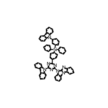 c1ccc([Si](c2ccccc2)(c2ccc(-c3nc(-n4c5ccccc5c5ccccc54)nc(-n4c5ccccc5n5c6ccccc6nc45)n3)cc2)c2cccc(-n3c4ccccc4c4ccccc43)c2)cc1